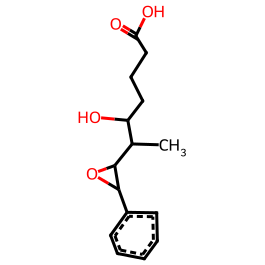 CC(C(O)CCCC(=O)O)C1OC1c1ccccc1